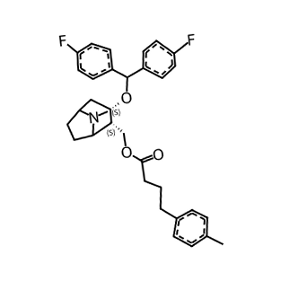 Cc1ccc(CCCC(=O)OC[C@@H]2C3CCC(C[C@@H]2OC(c2ccc(F)cc2)c2ccc(F)cc2)N3C)cc1